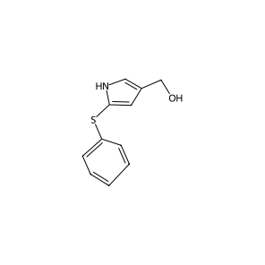 OCc1c[nH]c(Sc2ccccc2)c1